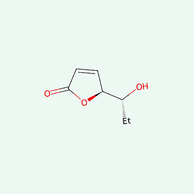 CC[C@@H](O)[C@@H]1C=CC(=O)O1